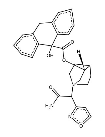 NC(=O)C(c1ccon1)[N+]12CCC(CC1)[C@@H](OC(=O)C1(O)c3ccccc3Cc3ccccc31)C2